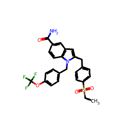 CCS(=O)(=O)c1ccc(Cc2cc3cc(C(N)=O)ccc3n2Cc2ccc(OC(F)(F)F)cc2)cc1